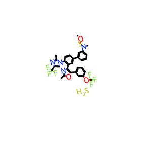 COSN(C)c1cccc(-c2ccc(-n3cc(C(F)(F)F)nc3C)c(-c3nc(C)oc3-c3cccc(OC(F)(F)F)c3)c2)c1.S